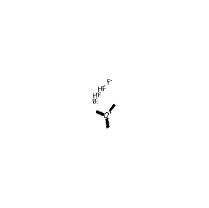 C[O+](C)C.F.F.[B].[F-]